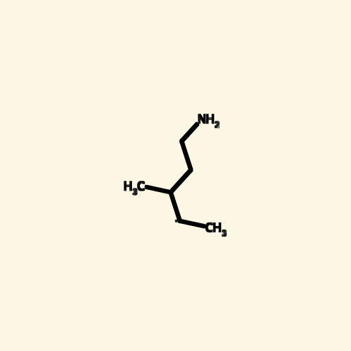 C[CH]C(C)CCN